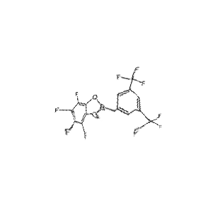 Fc1c(F)c(F)c2c(c1F)OB(c1cc(C(F)(F)F)cc(C(F)(F)F)c1)O2